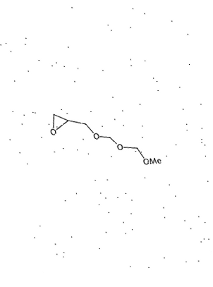 COCOCOCC1CO1